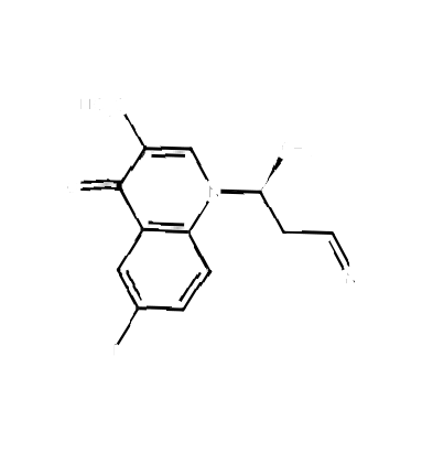 C[C@@H](CC=N)n1cc(C(=O)O)c(=O)c2cc(I)ccc21